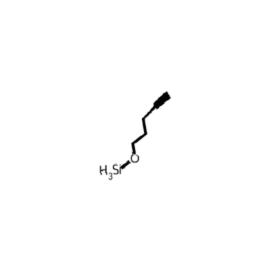 C#CCCCO[SiH3]